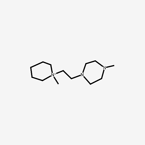 CN1CCN(CC[N+]2(C)CCCCC2)CC1